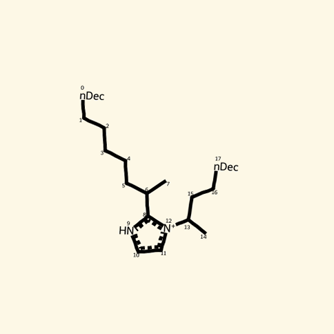 CCCCCCCCCCCCCCCC(C)c1[nH]cc[n+]1C(C)CCCCCCCCCCCC